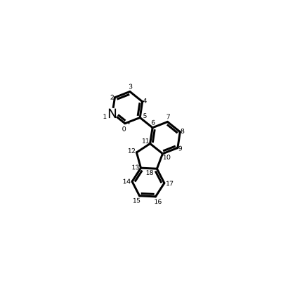 [c]1ncccc1-c1cccc2c1Cc1ccccc1-2